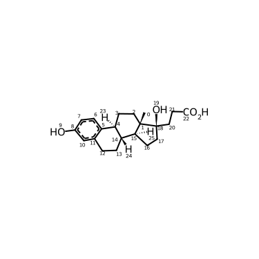 C[C@]12CC[C@@H]3c4ccc(O)cc4CC[C@H]3[C@@H]1CC[C@@]2(O)CCC(=O)O